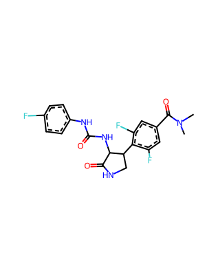 CN(C)C(=O)c1cc(F)c(C2CNC(=O)C2NC(=O)Nc2ccc(F)cc2)c(F)c1